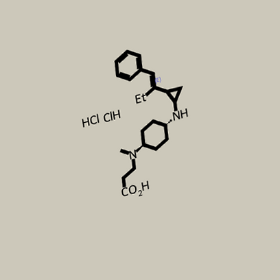 CC/C(=C\c1ccccc1)C1CC1N[C@H]1CC[C@H](N(C)CCC(=O)O)CC1.Cl.Cl